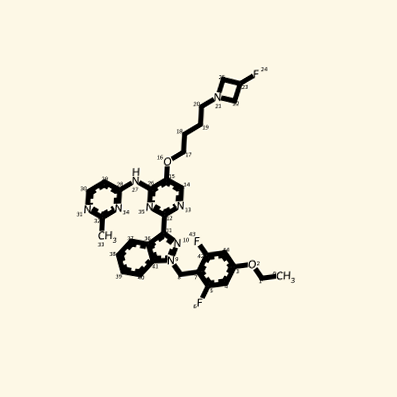 CCOc1cc(F)c(Cn2nc(-c3ncc(OCCCCN4CC(F)C4)c(Nc4ccnc(C)n4)n3)c3ccccc32)c(F)c1